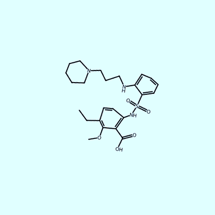 CCc1ccc(NS(=O)(=O)c2ccccc2NCCCN2CCCCC2)c(C(=O)O)c1OC